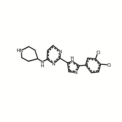 Clc1ccc(-c2ncc(-c3nccc(NC4CCNCC4)n3)[nH]2)cc1Cl